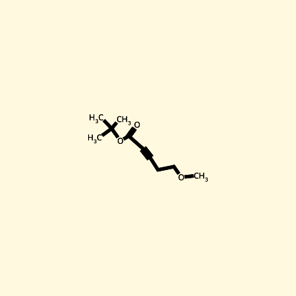 COCCC#CC(=O)OC(C)(C)C